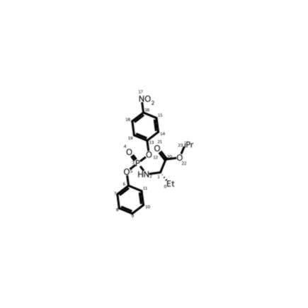 CC[C@H](NP(=O)(Oc1ccccc1)Oc1ccc([N+](=O)[O-])cc1)C(=O)OC(C)C